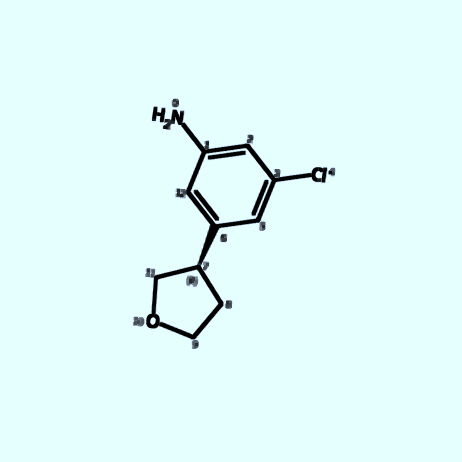 Nc1cc(Cl)cc([C@H]2CCOC2)c1